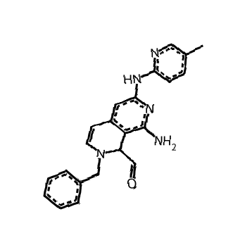 Cc1ccc(Nc2cc3c(c(N)n2)C(C=O)N(Cc2ccccc2)C=C3)nc1